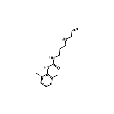 C=CCNCCCNC(=O)Nc1c(C)cccc1C